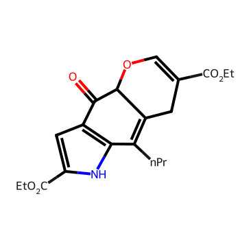 CCCC1=C2CC(C(=O)OCC)=COC2C(=O)c2cc(C(=O)OCC)[nH]c21